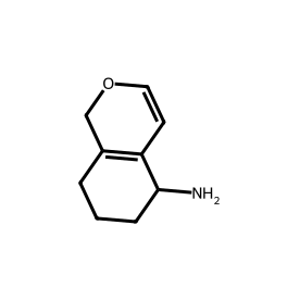 NC1CCCC2=C1C=COC2